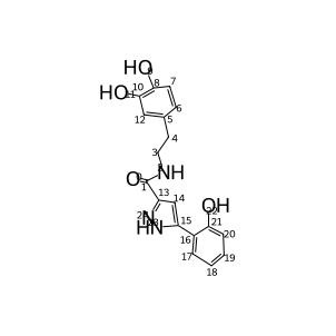 O=C(NCCc1ccc(O)c(O)c1)c1cc(-c2ccccc2O)[nH]n1